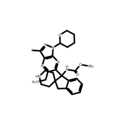 CC(=O)OCc1nc2c(I)nn(C3CCCCO3)c2nc1C1(NC(=O)OC(C)(C)C)c2ccccc2CC12CCNCC2